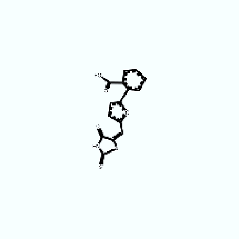 O=C1NC(=S)S/C1=C/c1ccc(-c2ccccc2C(=O)O)o1